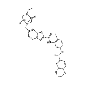 CCN1C[C@@H]2C[C@H]1CN2Cc1ccc2cc(C(=O)Nc3cc(NC(=O)c4ccc5c(c4)OCCO5)ccc3F)sc2n1